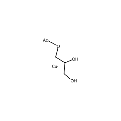 CC(=O)OCC(O)CO.[Cu]